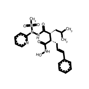 CC(C)C[C@@H](C(=O)NN(c1ccccn1)S(C)(=O)=O)[C@H](CC=Cc1ccccc1)C(=O)NO